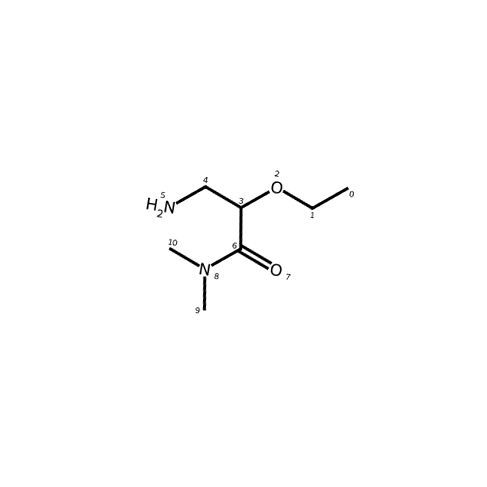 CCOC(CN)C(=O)N(C)C